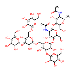 CC(=O)NC1[C@H](O[C@@H]2C(CO)O[C@@H](C)C(NC(C)=O)[C@H]2O)OC(CO)[C@@H](O[C@@H]2OC(CO[C@H]3OC(CO[C@H]4OC(CO)[C@@H](O)[C@H](O)C4O)[C@@H](O)[C@H](O[C@H]4O[C@@H](CO)[C@@H](O)C(O)C4O)C3O)[C@@H](O)[C@H](O[C@H]3O[C@@H](CO)[C@@H](O)C(O)C3O)C2O)[C@@H]1O